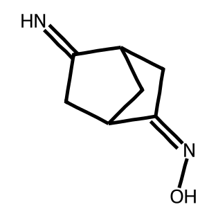 N=C1CC2CC1CC2=NO